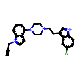 C#CCn1ccc2c(N3CCN(CCc4c[nH]c5ccc(Br)cc45)CC3)cccc21